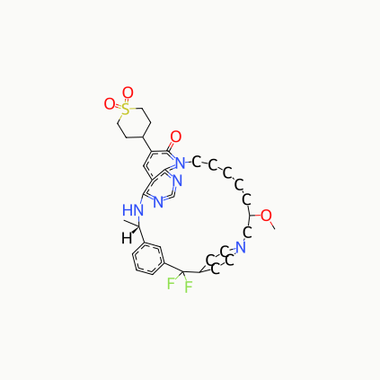 COC1CCCCCn2c(=O)c(C3CCS(=O)(=O)CC3)cc3c(ncnc32)N[C@@H](C)c2cccc(c2)C(F)(F)C2CCN(CC2)C1